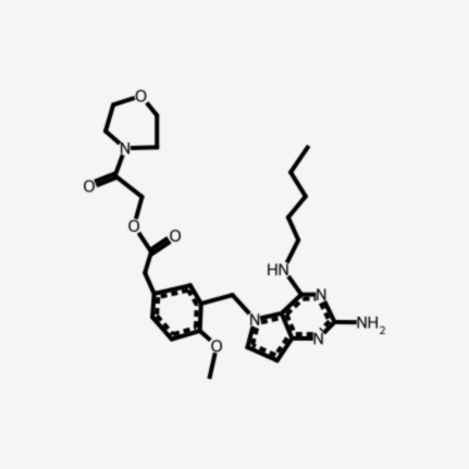 CCCCCNc1nc(N)nc2ccn(Cc3cc(CC(=O)OCC(=O)N4CCOCC4)ccc3OC)c12